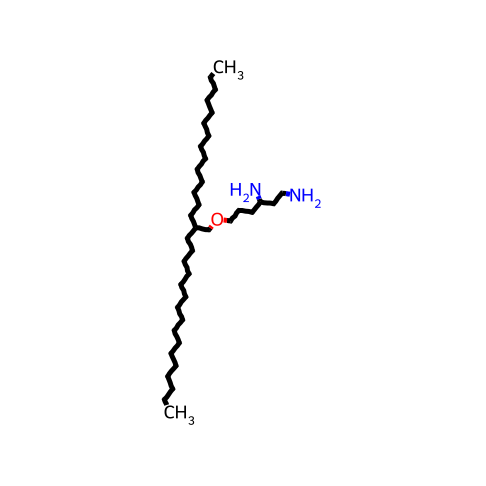 CCCCCCCCCCCCCCCCC(CCCCCCCCCCCCCC)COCCCC(N)CCN